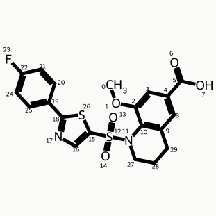 COc1cc(C(=O)O)cc2c1N(S(=O)(=O)c1cnc(-c3ccc(F)cc3)s1)CCC2